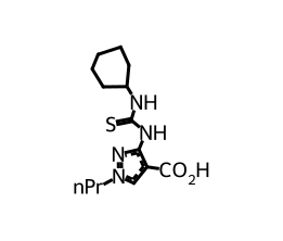 CCCn1cc(C(=O)O)c(NC(=S)NC2CCCCC2)n1